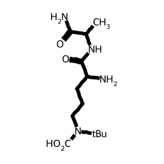 CC(NC(=O)C(N)CCCN(C(=O)O)C(C)(C)C)C(N)=O